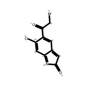 O=C1C=c2cc(C(=O)CBr)c(Cl)cc2=N1